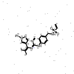 C=CS(=O)(=O)NCc1ccc(N/C(N=C)=N/C(=C(C)C)c2cnn(C(C)C)c2)cc1